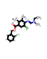 CCN(C)/C=N/c1c(Br)cc(C(=O)OCc2ccccc2F)c(C)c1C